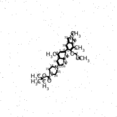 COCOc1c(-c2cc(C)c3cc(N4CCN(C(=O)OC(C)(C)C)CC4)cnc3n2)cc2cn(C)nc2c1C